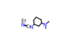 CCN=C=NC1CCCC(N(C)C)C1